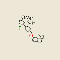 COc1ccc(F)c(-c2ccc(COc3ccc4c(c3)[C@@]3(CC4)CC[C@@H]3C)cc2[C@@H]2CCCC2(C)C)c1